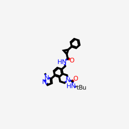 Cn1nccc1-c1ccc(CNC(=O)C2CC2c2ccccc2)c2c1CCN(C(=O)NC(C)(C)C)C2